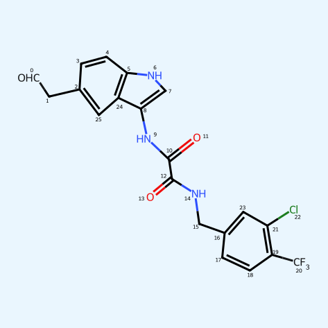 O=CCc1ccc2[nH]cc(NC(=O)C(=O)NCc3ccc(C(F)(F)F)c(Cl)c3)c2c1